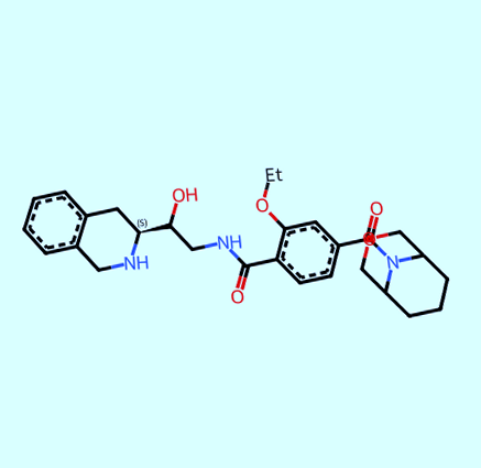 CCOc1cc(C(=O)N2C3CCCC2COC3)ccc1C(=O)NCC(O)[C@@H]1Cc2ccccc2CN1